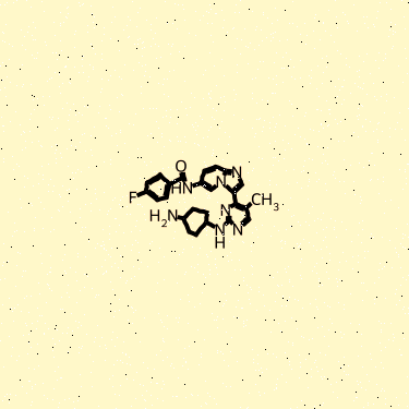 Cc1cnc(NC2CCC(N)CC2)nc1-c1cnc2ccc(NC(=O)c3ccc(F)cc3)cn12